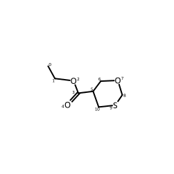 CCOC(=O)C1COCSC1